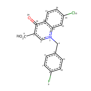 O=C(O)c1cn(Cc2ccc(F)cc2)c2cc(Cl)ccc2c1=O